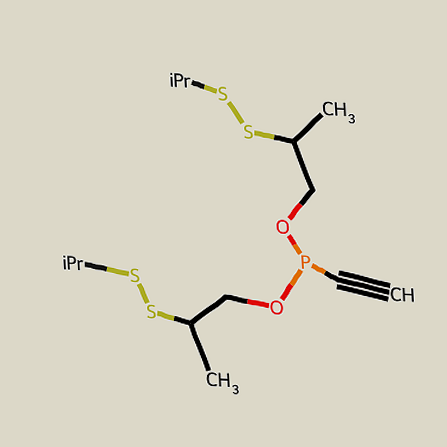 C#CP(OCC(C)SSC(C)C)OCC(C)SSC(C)C